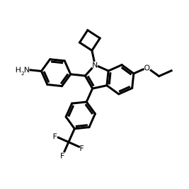 CCOc1ccc2c(-c3ccc(C(F)(F)F)cc3)c(-c3ccc(N)cc3)n(C3CCC3)c2c1